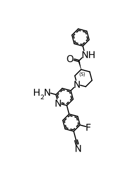 N#Cc1ccc(-c2cc(N3CCC[C@H](C(=O)Nc4ccccc4)C3)cc(N)n2)cc1F